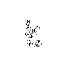 Cc1cc(C(C)C)nn1-c1nc2c(c(=O)n1-c1ccc(-c3cnn(C)c3)cc1)CC(C)N(C(=O)c1ccc(Br)c(C(F)(F)F)c1)C2